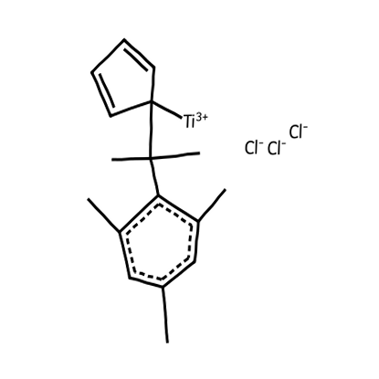 Cc1cc(C)c(C(C)(C)[C]2([Ti+3])C=CC=C2)c(C)c1.[Cl-].[Cl-].[Cl-]